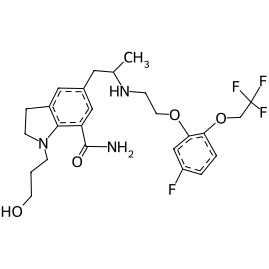 CC(Cc1cc2c(c(C(N)=O)c1)N(CCCO)CC2)NCCOc1cc(F)ccc1OCC(F)(F)F